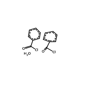 O.O=C(Cl)c1ccccc1.O=C(Cl)c1ccccc1